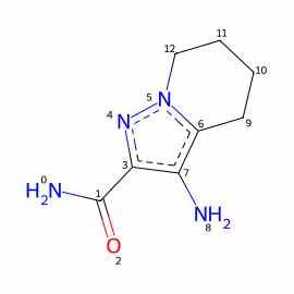 NC(=O)c1nn2c(c1N)CCCC2